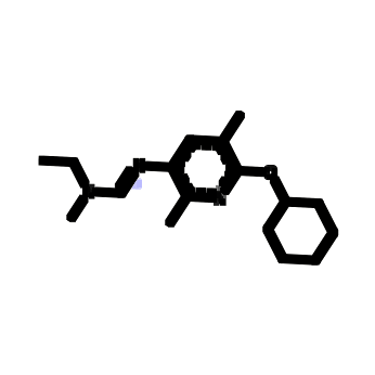 CCN(C)/C=N/c1cc(C)c(OC2CCCCC2)nc1C